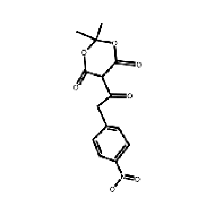 CC1(C)OC(=O)C(C(=O)Cc2ccc([N+](=O)[O-])cc2)C(=O)O1